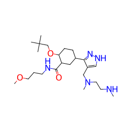 CNCCN(C)Cc1c[nH]nc1C1CCC(OCC(C)(C)C)C(C(=O)NCCCOC)C1